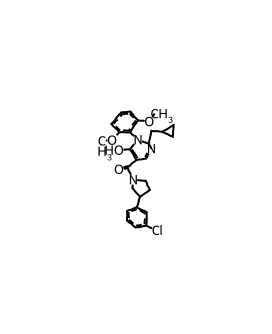 COc1cccc(OC)c1N1C(O)=C(C(=O)N2CCC(c3cccc(Cl)c3)C2)C=NC1CC1CC1